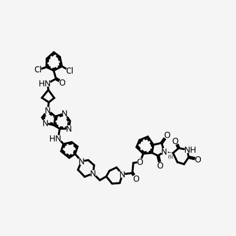 O=C1CC[C@H](N2C(=O)c3cccc(OCC(=O)N4CCC(CN5CCN(c6ccc(Nc7ncnc8c7ncn8C7CC(NC(=O)c8c(Cl)cccc8Cl)C7)cc6)CC5)CC4)c3C2=O)C(=O)N1